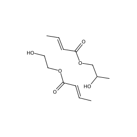 CC=CC(=O)OCC(C)O.CC=CC(=O)OCCO